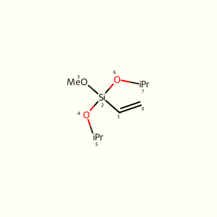 C=C[Si](OC)(OC(C)C)OC(C)C